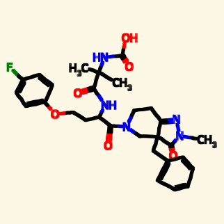 CN1N=C2CCN(C(=O)C(CCOc3ccc(F)cc3)NC(=O)C(C)(C)NC(=O)O)CC2(Cc2ccccc2)C1=O